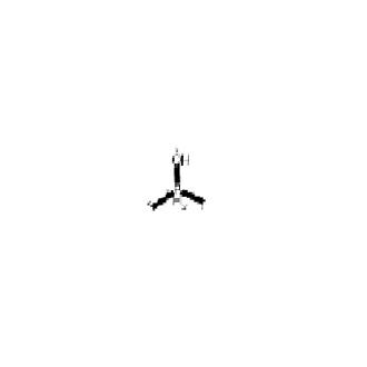 C[PH2](C)O